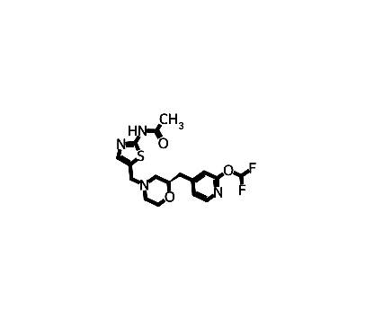 CC(=O)Nc1ncc(CN2CCO[C@H](Cc3ccnc(OC(F)F)c3)C2)s1